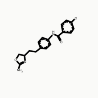 NC1=NC(CCc2ccc(NC(=O)c3ccc(Cl)cc3)cc2)CO1